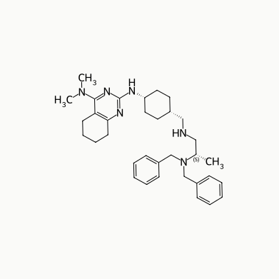 C[C@@H](CNC[C@H]1CC[C@@H](Nc2nc3c(c(N(C)C)n2)CCCC3)CC1)N(Cc1ccccc1)Cc1ccccc1